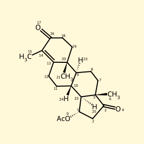 CC(=O)O[C@H]1CC(=O)[C@@]2(C)CC[C@H]3[C@@H](CCC4=C(C)C(=O)CC[C@@]43C)[C@H]12